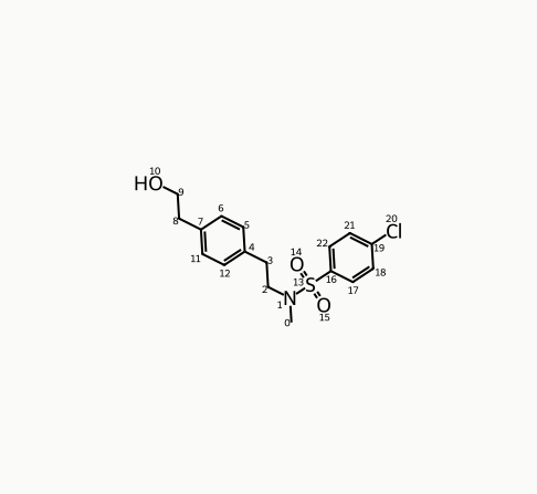 CN(CCc1ccc(CCO)cc1)S(=O)(=O)c1ccc(Cl)cc1